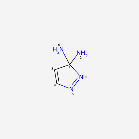 NC1(N)C=CN=N1